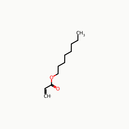 [CH]=CC(=O)OCCCCCCCC